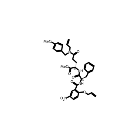 C=CCOc1ccc([N+](=O)[O-])cc1C(=O)N[C@H](Cc1ccccc1)C(=O)N[C@@H](CCC(=O)N(CC=C)Cc1ccc(OC)cc1)C(=O)OC